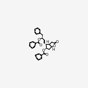 O=C1C[C@@H]2[C@@H](C=C[C@H](Cc3ccccc3)OC(=O)c3ccccc3)[C@H](OC(=O)c3ccccc3)C[C@@H]2O1